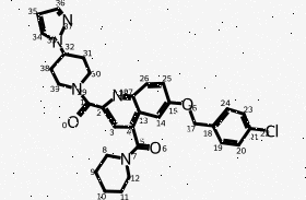 O=C(c1cc(C(=O)N2CCCCC2)c2cc(OCc3ccc(Cl)cc3)ccc2n1)N1CCC(n2cccn2)CC1